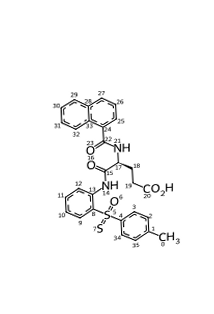 Cc1ccc(S(=O)(=S)c2ccccc2NC(=O)[C@H](CCC(=O)O)NC(=O)c2cccc3ccccc23)cc1